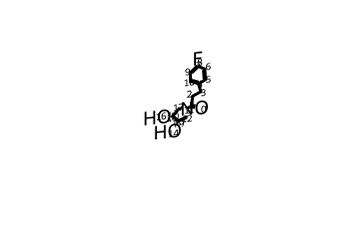 O=C(CCc1ccc(F)cc1)N1C[C@@H](O)[C@@H](O)C1